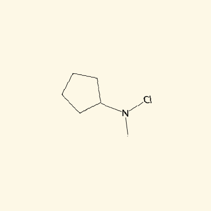 CN(Cl)C1CCCC1